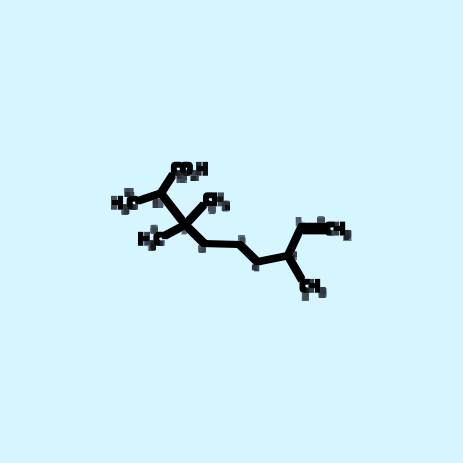 C=CC(C)CCCC(C)(C)C(C)C(=O)O